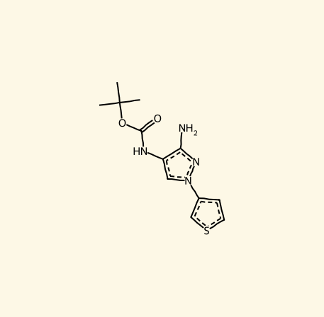 CC(C)(C)OC(=O)Nc1cn(-c2ccsc2)nc1N